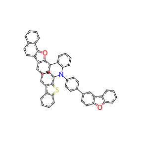 c1ccc(N(c2ccc(-c3ccc4oc5ccccc5c4c3)cc2)c2cccc3c2sc2ccccc23)c(-c2cccc3c2oc2c4ccccc4ccc32)c1